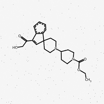 CCOC(=O)N1CCC(N2CCC3(C=C(C(=O)CO)c4ccccc43)CC2)CC1